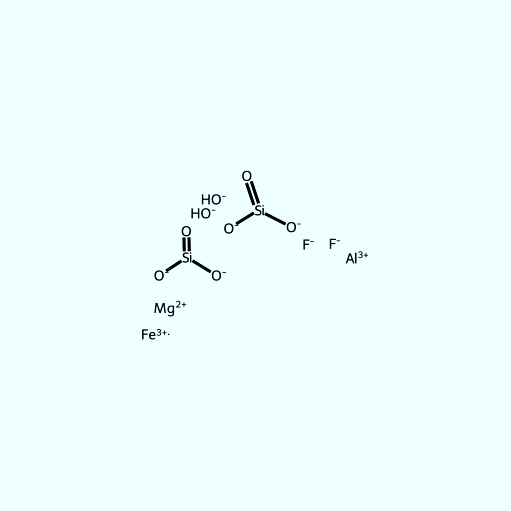 O=[Si]([O-])[O-].O=[Si]([O-])[O-].[Al+3].[F-].[F-].[Fe+3].[Mg+2].[OH-].[OH-]